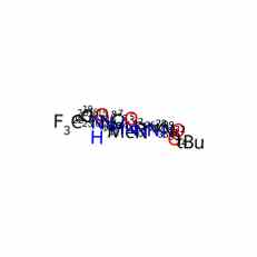 CN/C(=C\C(=N)Oc1ccc2c(ccn2C(=O)Nc2cccc(C(F)(F)F)c2)c1)CNC1CCN(C(=O)OC(C)(C)C)C1